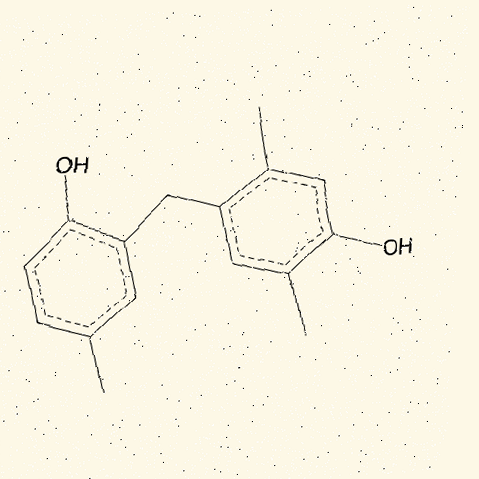 Cc1ccc(O)c(Cc2cc(C)c(O)cc2C)c1